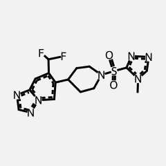 Cn1cnnc1S(=O)(=O)N1CCC(c2cn3ncnc3cc2C(F)F)CC1